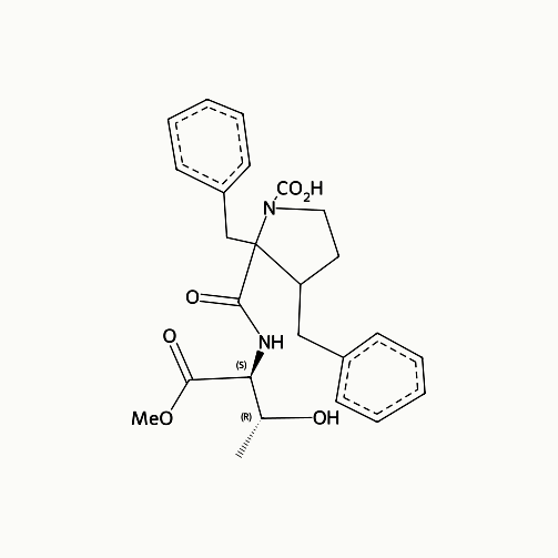 COC(=O)[C@@H](NC(=O)C1(Cc2ccccc2)C(Cc2ccccc2)CCN1C(=O)O)[C@@H](C)O